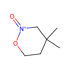 CC1(C)CCO[N+](=O)C1